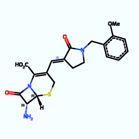 COc1ccccc1CN1CC/C(=C\C2=C(C(=O)O)N3C(=O)[C@@H](N)[C@H]3SC2)C1=O